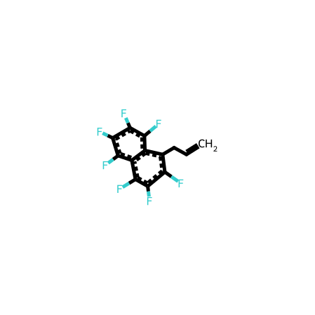 C=CCc1c(F)c(F)c(F)c2c(F)c(F)c(F)c(F)c12